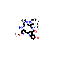 CCn1ncc(CN(C)C(=O)c2cc(-c3cc(NCCNC)cc(OC)n3)nc3ccc(O)cc23)c1C